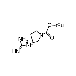 CC(C)(C)OC(=O)N1CCC(NC(=N)N)C1